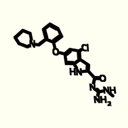 CNC(N)=NC(=O)c1cc2c(Cl)cc(Oc3ccccc3CN3CCCCC3)cc2[nH]1